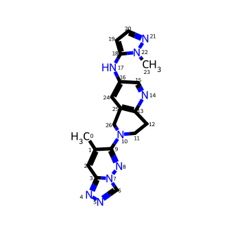 Cc1cc2nncn2nc1N1CCc2ncc(Nc3ccnn3C)cc2C1